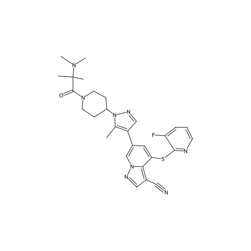 Cc1c(-c2cc(Sc3ncccc3F)c3c(C#N)cnn3c2)cnn1C1CCN(C(=O)C(C)(C)N(C)C)CC1